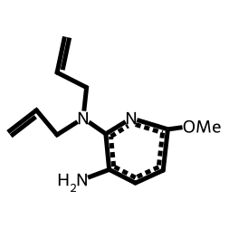 C=CCN(CC=C)c1nc(OC)ccc1N